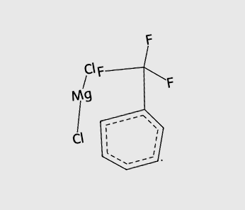 FC(F)(F)c1c[c]ccc1.[Cl][Mg][Cl]